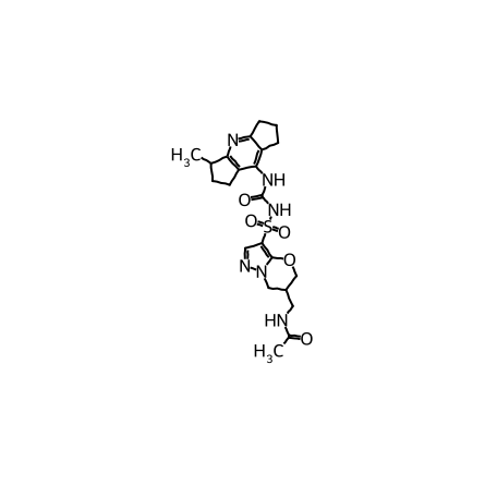 CC(=O)NCC1COc2c(S(=O)(=O)NC(=O)Nc3c4c(nc5c3CCC5C)CCC4)cnn2C1